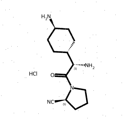 Cl.N#C[C@@H]1CCCN1C(=O)[C@@H](N)[C@H]1CC[C@H](N)CC1